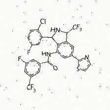 O=C(Nc1cc(-c2nccs2)cc2c1C(c1cc(F)ccc1Cl)NC2C(F)(F)F)c1cc(F)cc(C(F)(F)F)c1